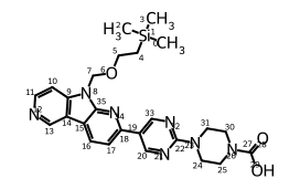 C[Si](C)(C)CCOCn1c2ccncc2c2ccc(-c3cnc(N4CCN(C(=O)O)CC4)nc3)nc21